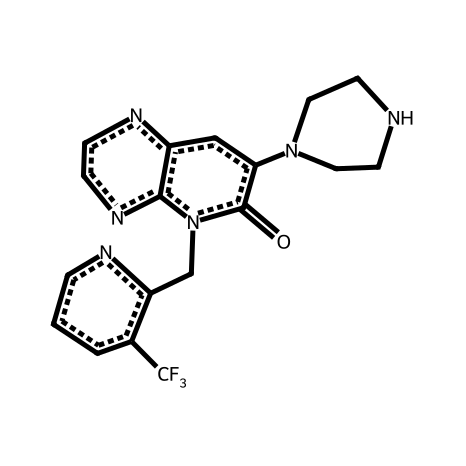 O=c1c(N2CCNCC2)cc2nccnc2n1Cc1ncccc1C(F)(F)F